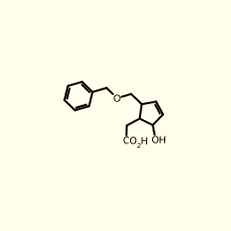 O=C(O)CC1C(O)C=CC1COCc1ccccc1